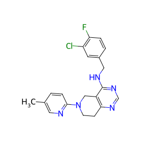 Cc1ccc(N2CCc3ncnc(NCc4ccc(F)c(Cl)c4)c3C2)nc1